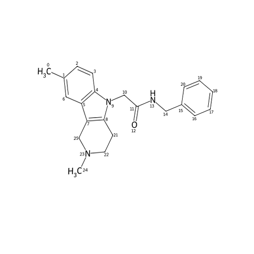 Cc1ccc2c(c1)c1c(n2CC(=O)NCc2ccccc2)CCN(C)C1